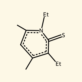 CCc1c(C)cc(C)n(CC)c1=S